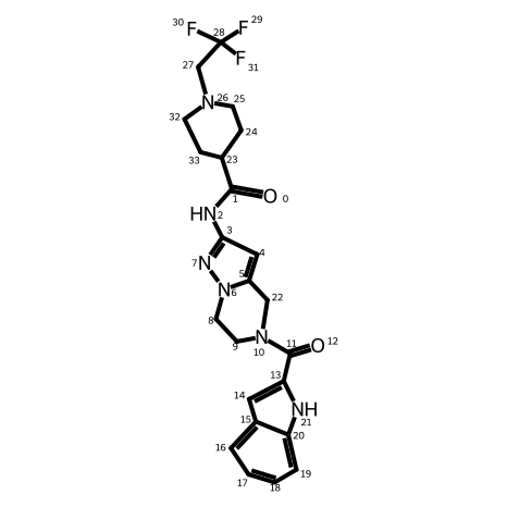 O=C(Nc1cc2n(n1)CCN(C(=O)c1cc3ccccc3[nH]1)C2)C1CCN(CC(F)(F)F)CC1